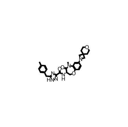 Cc1ccc(Cc2nc(C(=O)N[C@H]3COc4ccc(N5CC6(CCOCC6)C5)cc4N(C)C3=O)n[nH]2)cc1